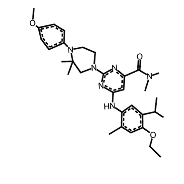 CCOc1cc(C)c(Nc2cc(C(=O)N(C)C)nc(N3CCN(c4ccc(OC)cc4)C(C)(C)C3)n2)cc1C(C)C